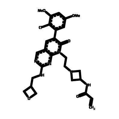 C=CC(=O)NC1CN(CCn2c(=O)c(-c3cc(OC)cc(OC)c3Cl)cc3cnc(NCC4COC4)nc32)C1